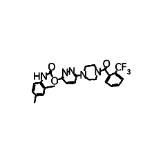 Cc1ccc(NC(=O)Oc2ccc(N3CCN(C(=O)c4ccccc4C(F)(F)F)CC3)nn2)c(C)c1